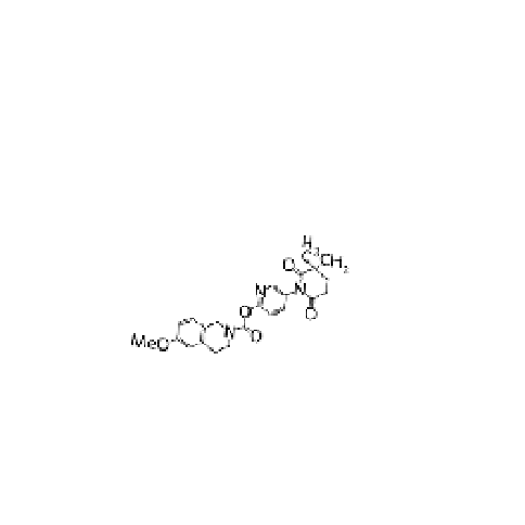 COc1ccc2c(c1)CCN(C(=O)Oc1ccc(N3C(=O)CCC(C)(C)C3=O)cn1)C2